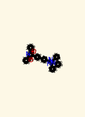 c1ccc(-c2nc(-c3ccc(-c4ccc(-c5c6oc7ccccc7c6nc6c5oc5ccccc56)cc4)cc3)nc(-c3ccccc3-c3ccccc3)n2)cc1